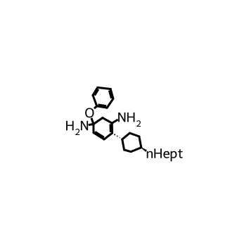 CCCCCCC[C@H]1CC[C@H](C2=C(N)CC(N)(Oc3ccccc3)C=C2)CC1